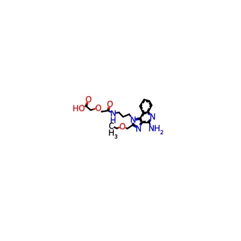 CCOCc1nc2c(N)nc3ccccc3c2n1CCCNC(=O)COCC(=O)O